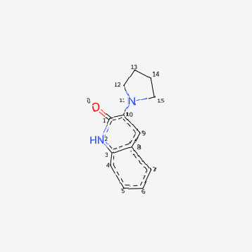 O=c1[nH]c2ccccc2cc1N1CCCC1